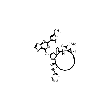 COC(=O)[C@@]12C[C@H]1/C=C\CCCCC[C@H](NC(=O)OC(C)(C)C)C(=O)N1C[C@H](Oc3nc(-c4cc(C)on4)nc4ccsc34)C[C@H]1C(=O)N2